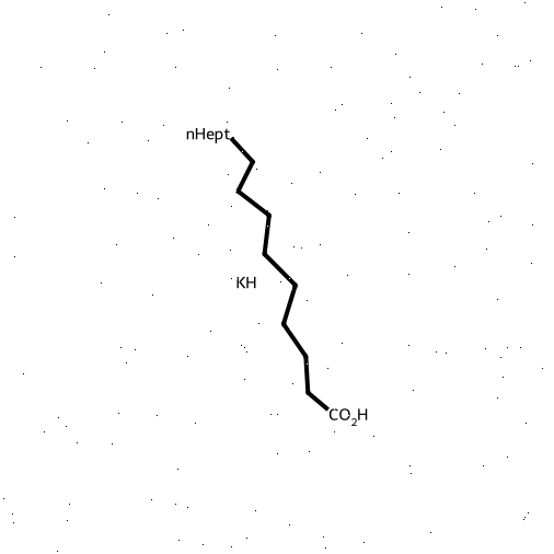 CCCCCCCCCCCCCCCC(=O)O.[KH]